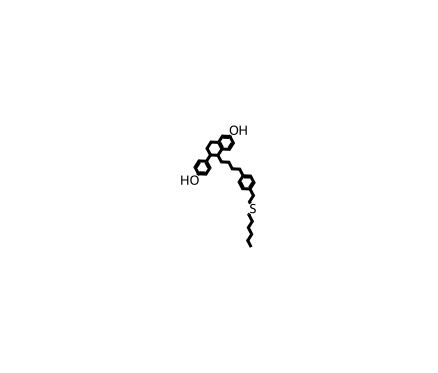 CCCCCCSCCc1ccc(CCCCC2c3ccc(O)cc3CCC2c2ccc(O)cc2)cc1